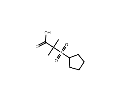 CC(C)(C(=O)O)S(=O)(=O)C1CCCC1